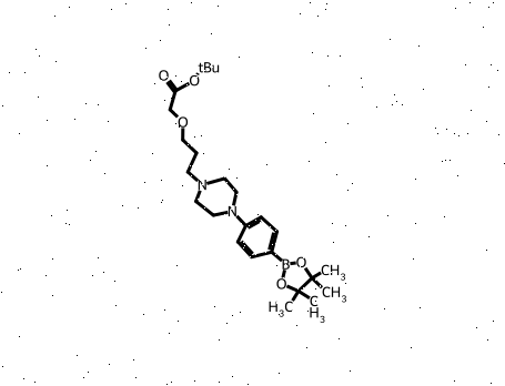 CC(C)(C)OC(=O)COCCCN1CCN(c2ccc(B3OC(C)(C)C(C)(C)O3)cc2)CC1